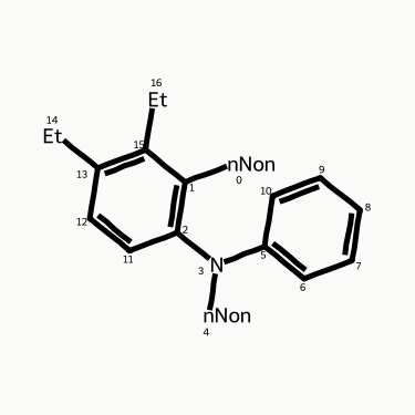 CCCCCCCCCc1c(N(CCCCCCCCC)c2ccccc2)ccc(CC)c1CC